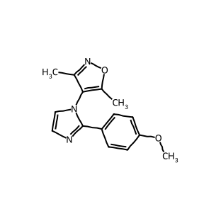 COc1ccc(-c2nccn2-c2c(C)noc2C)cc1